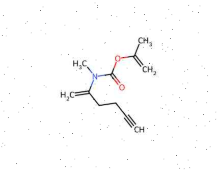 C#CCCC(=C)N(C)C(=O)OC(=C)C